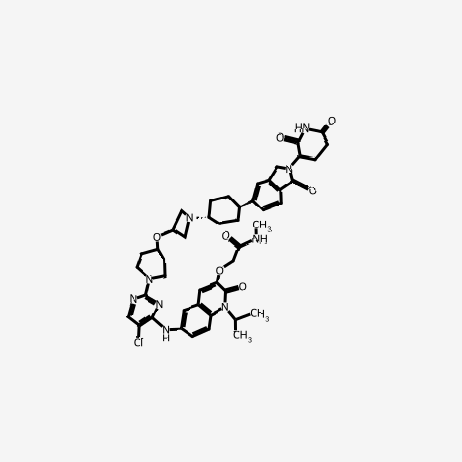 CNC(=O)COc1cc2cc(Nc3nc(N4CCC(OC5CN([C@H]6CC[C@H](c7ccc8c(c7)CN(C7CCC(=O)NC7=O)C8=O)CC6)C5)CC4)ncc3Cl)ccc2n(C(C)C)c1=O